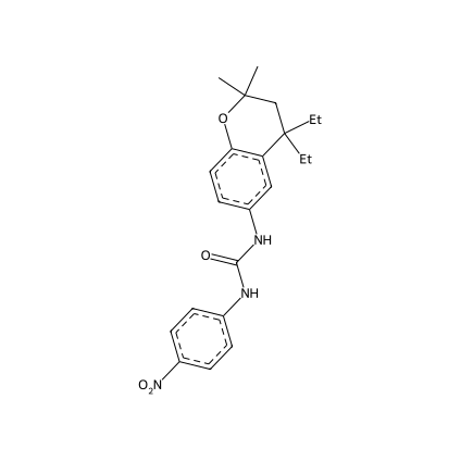 CCC1(CC)CC(C)(C)Oc2ccc(NC(=O)Nc3ccc([N+](=O)[O-])cc3)cc21